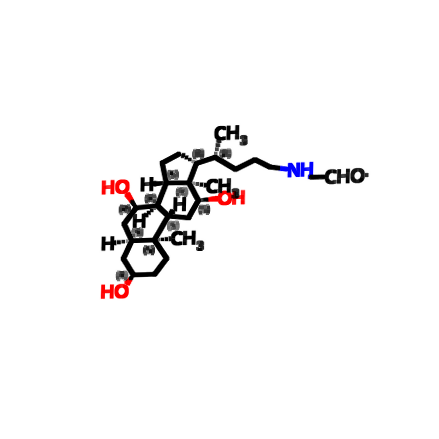 C[C@H](CCCNC[C]=O)[C@H]1CC[C@H]2[C@@H]3[C@H](O)C[C@@H]4C[C@H](O)CC[C@]4(C)[C@H]3C[C@H](O)[C@]12C